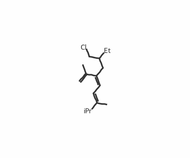 C=C(C)/C(=C\C=C(/C)C(C)C)CC(CC)CCl